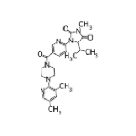 Cc1cnc(N2CCN(C(=O)c3ccc(N4C(=O)N(C)C(=O)C4C(C)C)nc3)CC2)c(C)c1